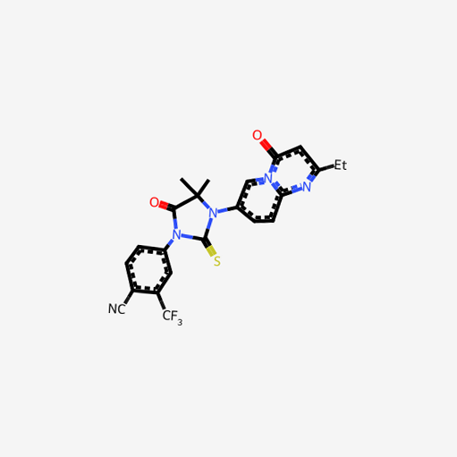 CCc1cc(=O)n2cc(N3C(=S)N(c4ccc(C#N)c(C(F)(F)F)c4)C(=O)C3(C)C)ccc2n1